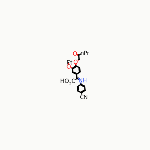 CCCC(=O)COc1ccc([C@H](Nc2ccc(C#N)cc2)C(=O)O)cc1OCC